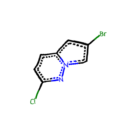 Clc1ccc2cc(Br)cn2n1